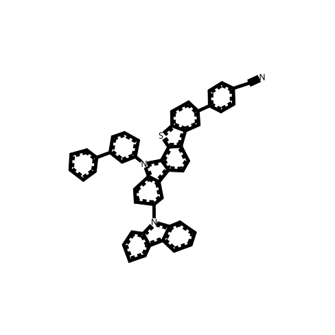 N#Cc1ccc(-c2ccc3sc4c(ccc5c6cc(-n7c8ccccc8c8ccccc87)ccc6n(-c6cccc(-c7ccccc7)c6)c54)c3c2)cc1